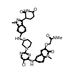 CNC(=O)COc1cc2cc(Nc3nc(N4CCC[C@H](Nc5ccc6c(C7CCC(=O)NC7=O)nn(C)c6c5)C4)ncc3Cl)ccc2n(C)c1=O